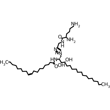 CCCCCCCC/C=C\CCCCCCCC(=O)N[C@@H](Cn1cc(CNC(=O)C(N)CCCCN)nn1)[C@H](O)[C@H](O)CCCCCCCCCCCCCC